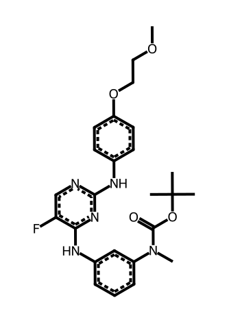 COCCOc1ccc(Nc2ncc(F)c(Nc3cccc(N(C)C(=O)OC(C)(C)C)c3)n2)cc1